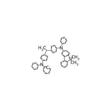 CC(c1ccc(N(c2ccccc2)c2ccccc2)cc1)c1ccc(N(c2ccccc2)c2ccc3c(c2)-c2ccccc2[Si]3(C)C)cc1